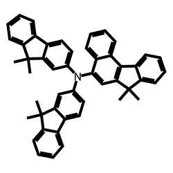 CC1(C)c2ccccc2-c2ccc(N(c3ccc4c(c3)C(C)(C)c3ccccc3-4)c3cc4c(c5ccccc35)-c3ccccc3C4(C)C)cc21